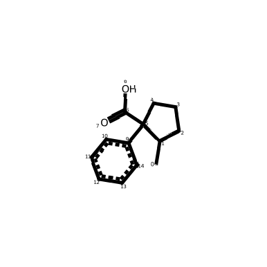 CC1CCCC1(C(=O)O)c1ccccc1